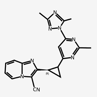 Cc1nc(C2C[C@H]2c2nc3ccccn3c2C#N)cc(-n2nc(C)nc2C)n1